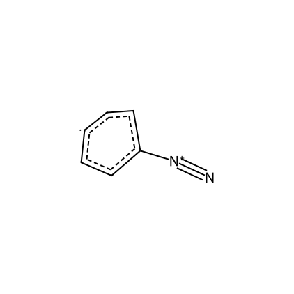 N#[N+]c1cc[c]cc1